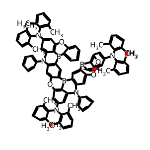 Cc1cccc(C)c1N(c1cc2c3c(c1)Oc1cc4c(cc1B3c1ccccc1O2)B1c2cc3c(cc2Oc2cc(N(c5c(C)cccc5C)c5c(C)cccc5C)cc(c21)N4c1ccccc1)N(c1ccccc1)c1cc(N(c2c(C)cccc2C)c2c(C)cccc2C)cc2c1B3c1ccccc1O2)c1c(C)cccc1C